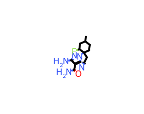 CC1CCC(CC#N)(n2cc(C(N)=O)c(N)n2)C(F)C1